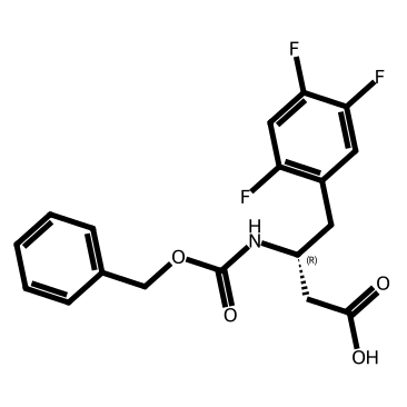 O=C(O)C[C@@H](Cc1cc(F)c(F)cc1F)NC(=O)OCc1ccccc1